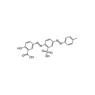 Cc1ccc(N=Nc2ccc(N=Nc3ccc(O)c(C(=O)O)c3)c(S(=O)(=O)O)c2)cc1